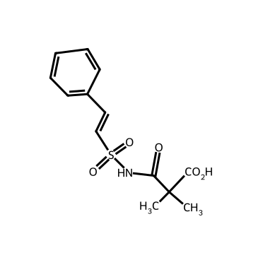 CC(C)(C(=O)O)C(=O)NS(=O)(=O)C=Cc1ccccc1